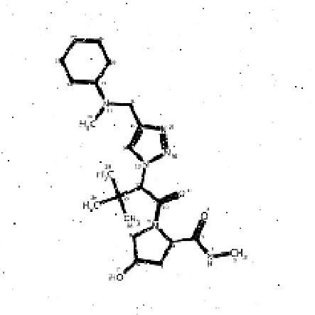 CNC(=O)[C@H]1CC(O)CN1C(=O)C(n1cc(CN(C)C2CCCCC2)nn1)C(C)(C)C